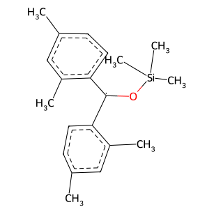 Cc1ccc([C](O[Si](C)(C)C)c2ccc(C)cc2C)c(C)c1